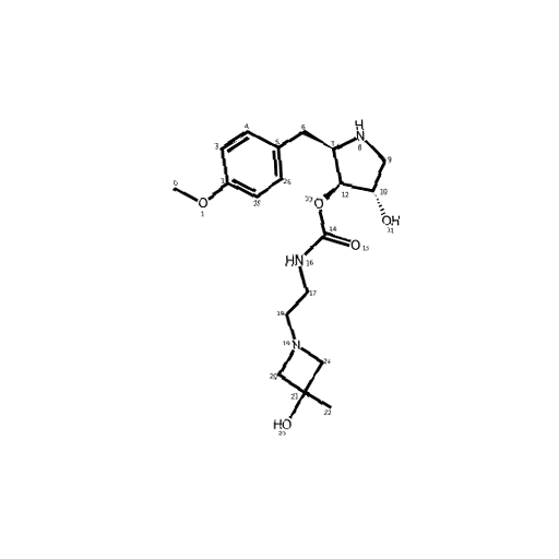 COc1ccc(C[C@H]2NC[C@H](O)[C@H]2OC(=O)NCCN2CC(C)(O)C2)cc1